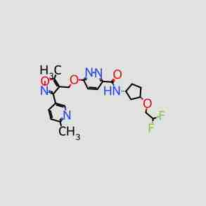 Cc1ccc(-c2noc(C)c2COc2ccc(C(=O)N[C@@H]3CC[C@@H](OCC(F)F)C3)nn2)cn1